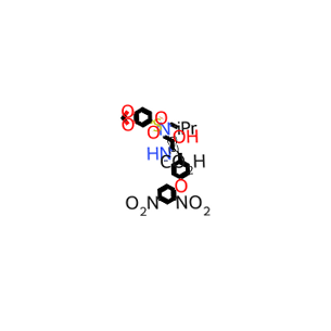 CC(C)CN(C[C@H](O)[C@H](Cc1ccc(Oc2ccc([N+](=O)[O-])cc2[N+](=O)[O-])cc1)NC(=O)O)S(=O)(=O)c1ccc2c(c1)OCO2